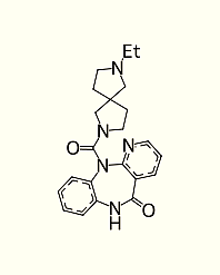 CCN1CCC2(CCN(C(=O)N3c4ccccc4NC(=O)c4cccnc43)C2)C1